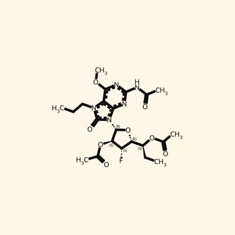 CCCn1c(=O)n([C@@H]2O[C@H]([C@H](CC)OC(C)=O)[C@H](F)[C@H]2OC(C)=O)c2nc(NC(C)=O)nc(OC)c21